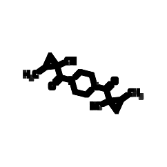 CC1CC1(C#N)C(=O)N1CCN(C(=O)C2(C#N)CC2C)CC1